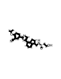 CC(C)Oc1ccc(-c2ncc(-c3cccc4c3CCC4CN[S+]([O-])CCO)s2)cc1C#N